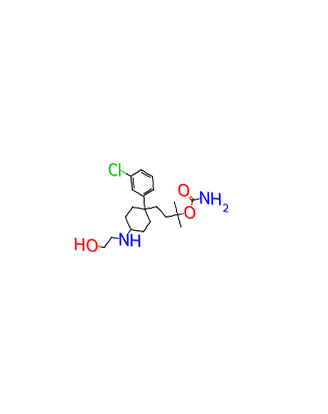 CC(C)(CCC1(c2cccc(Cl)c2)CCC(NCCO)CC1)OC(N)=O